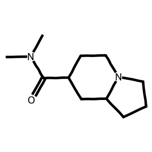 CN(C)C(=O)C1CCN2CCCC2C1